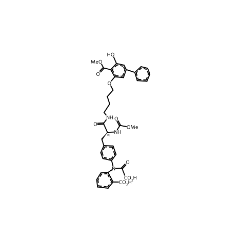 COC(=O)N[C@@H](Cc1ccc(N(C(=O)C(=O)O)c2ccccc2C(=O)O)cc1)C(=O)NCCCCOc1cc(-c2ccccc2)cc(O)c1C(=O)OC